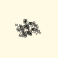 CON=C(C(=O)NC1C(=O)N2C(C(=O)O)=C(C[N+]34CCC(C(N)=O)(CC3)CC4)CS[C@@H]12)c1nsc(N)n1.CON=C(C(=O)NC1C(=O)N2C(C(=O)O)=C(C[N+]34CCC(C(N)=O)(CC3)CC4)CS[C@@H]12)c1nsc(N)n1.O=S(=O)([O-])[O-]